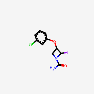 NC(=O)N1CC(Oc2cccc(Cl)c2)C1I